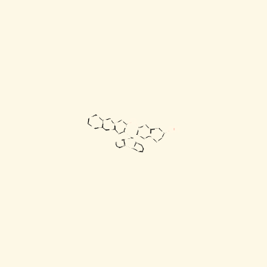 Oc1ccc2cc3c(cc2c1)Oc1cc2cc4ccccc4cc2cc1C31c2ccccc2-c2ccccc21